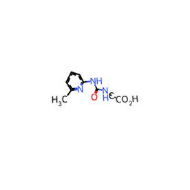 Cc1cccc(NC(=O)NCC(=O)O)n1